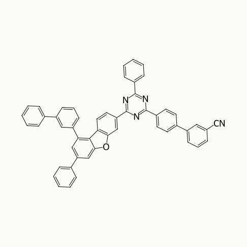 N#Cc1cccc(-c2ccc(-c3nc(-c4ccccc4)nc(-c4ccc5c(c4)oc4cc(-c6ccccc6)cc(-c6cccc(-c7ccccc7)c6)c45)n3)cc2)c1